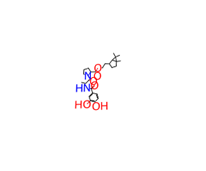 CC(NC(=O)c1ccc(O)c(O)c1)C(=O)N1CCCC1C(=O)OCCC1CCC2(C)C1C2(C)C